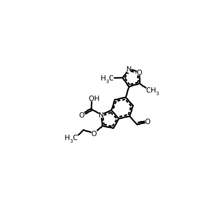 CCOc1cc2c(C=O)cc(-c3c(C)noc3C)cc2n1C(=O)O